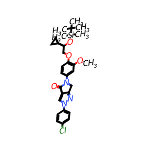 COc1cc(N2Cc3nn(-c4ccc(Cl)cc4)cc3C2=O)ccc1OCC(O[Si](C)(C)C(C)(C)C)C1CC1